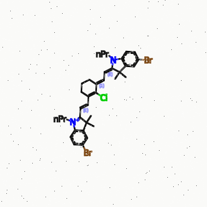 CCCN1/C(=C/C=C2\CCCC(/C=C/C3=[N+](CCC)c4ccc(Br)cc4C3(C)C)=C2Cl)C(C)(C)c2cc(Br)ccc21